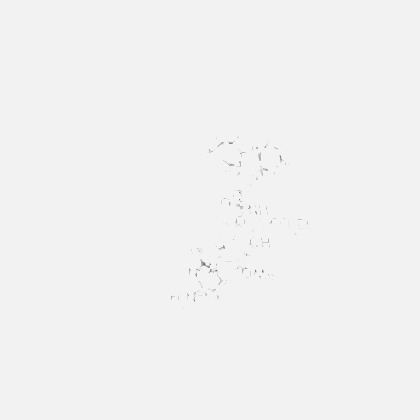 CCOC(=O)[C@H](C)NP(=O)(OCC1c2ccccc2-c2ccccc21)OC[C@H]1O[C@@H](n2ccc(N)nc2=O)C(OC)C1O